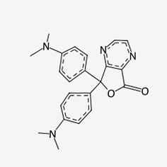 CN(C)c1ccc(C2(c3ccc(N(C)C)cc3)OC(=O)c3nccnc32)cc1